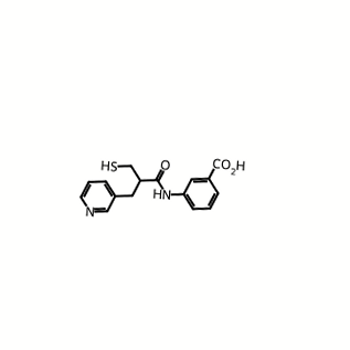 O=C(O)c1cccc(NC(=O)C(CS)Cc2cccnc2)c1